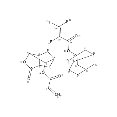 C=CC(=O)OC1C2CC3C(=O)OC1C3C2.O=C(OC12CC3CC(CC(C3)C1)C2)C(F)=C(F)F